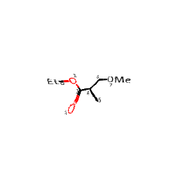 CCOC(=O)C(C)COC